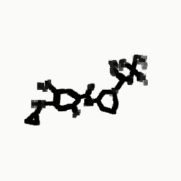 CC(C)(C)OC(=O)N1CCCC(NC(=O)c2cc(N)c(NC3CC3)cc2F)C1